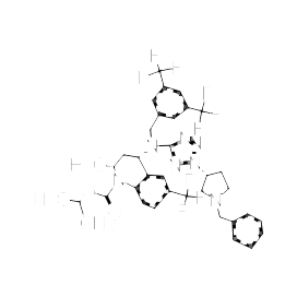 CC(C)OC(=O)N1c2ccc(C(F)(F)F)cc2[C@H](N(Cc2cc(C(F)(F)F)cc(C(F)(F)F)c2)c2nnn([C@H]3CCN(Cc4ccccc4)C3)n2)C[C@@H]1C